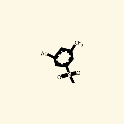 CC(=O)c1cc(C(F)(F)F)cc(S(C)(=O)=O)c1